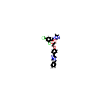 Clc1ccc(C2(Cn3ccnc3)OCC(COc3ccc(-c4cn(Cc5ccccc5)cn4)cc3)O2)c(Cl)c1